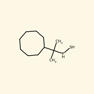 CC(C)(PS)C1CCCCCCC1